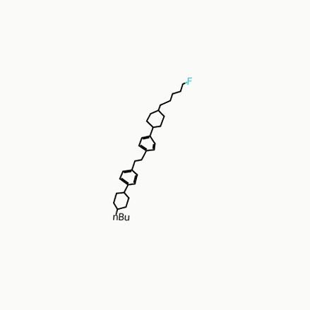 CCCCC1CCC(c2ccc(CCc3ccc(C4CCC(CCCCCF)CC4)cc3)cc2)CC1